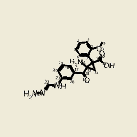 COc1ccccc1C1(C(=O)O)CC1(N)C(=O)c1cccc(NC=NN)c1